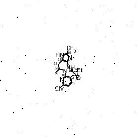 CCS(=O)(=O)c1ccc(Cl)nc1N1Nc2nc(C(F)(F)F)[nH]c2CC1C